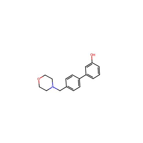 Oc1cccc(-c2ccc(CN3CCOCC3)cc2)c1